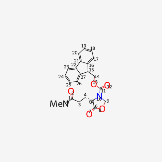 CNC(=O)CC[C@H]1C(=O)OCN1C(=O)OCC1c2ccccc2-c2ccccc21